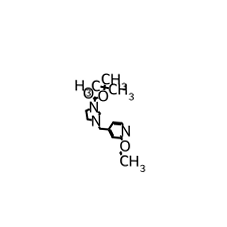 CCOc1cc(CN2CCN(C(=O)OC(C)(C)C)C2)ccn1